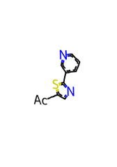 CC(=O)c1cnc(-c2cccnc2)s1